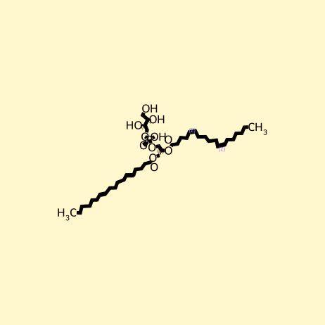 CCCCCCC=CCCCCC=CCCCC(=O)OC[C@H](COP(=O)(O)OC[C@@H](O)[C@H](O)CO)OC(=O)CCC/C=C\CCCC/C=C\CCCCCC